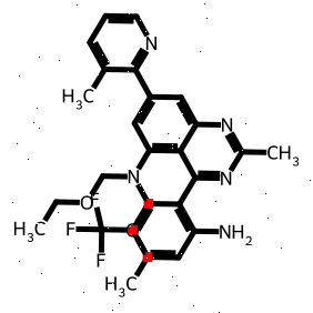 CCOCN(COCC)c1cc(-c2ncccc2C)cc2nc(C)nc(-c3cc(C(F)(F)F)ccc3N)c12